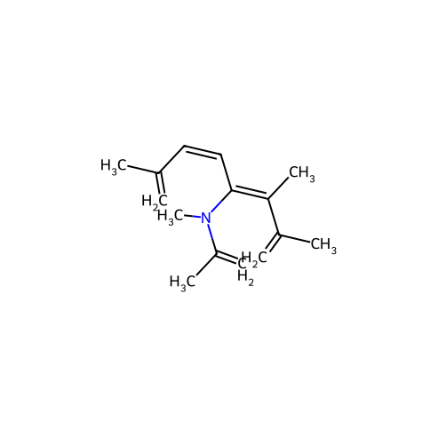 C=C(C)/C=C\C(=C(/C)C(=C)C)N(C)C(=C)C